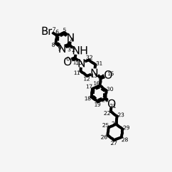 O=C(Nc1ncc(Br)cn1)N1CCN(C(=O)c2cccc(OCCC3CCCCC3)c2)CC1